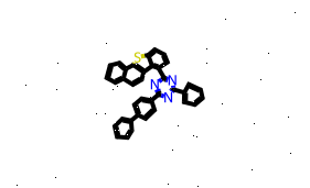 c1ccc(-c2ccc(-c3nc(-c4ccccc4)nc(-c4cccc5sc6c7ccccc7ccc6c45)n3)cc2)cc1